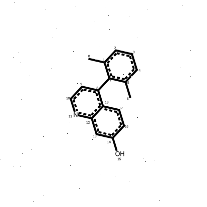 Cc1cccc(C)c1-c1ccnc2cc(O)ccc12